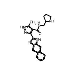 Cc1[nH]nc(-c2nc3cc4ccccc4cc3[nH]2)c1C(=O)NCC1CCCN1